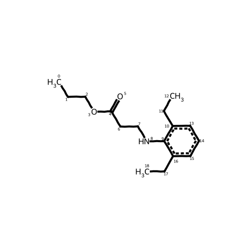 CCCOC(=O)CCNc1c(CC)cccc1CC